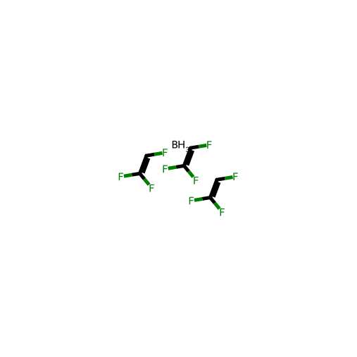 B.FC=C(F)F.FC=C(F)F.FC=C(F)F